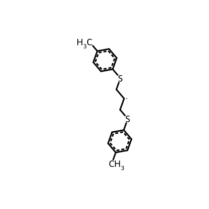 Cc1ccc(SC[CH]CSc2ccc(C)cc2)cc1